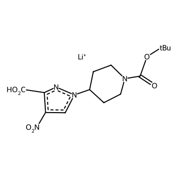 CC(C)(C)OC(=O)N1CCC(n2cc([N+](=O)[O-])c(C(=O)O)n2)CC1.[Li+]